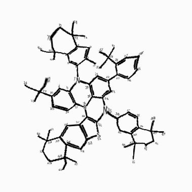 Cc1cc2c(cc1N1c3cc(C(C)(C)C)ccc3B3c4c1cc(-c1ccccc1C(C)(C)C)cc4N(C1C=CC4=C(C1)C(C)(C)CCC4(C)C)c1sc4cc5c(cc4c13)C(C)(C)CCC5(C)C)C(C)(C)CCC2(C)C